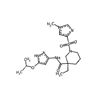 CCC1(C(=O)Nc2cc(OC(C)C)[nH]n2)CCCN(S(=O)(=O)c2cn(C)cn2)C1